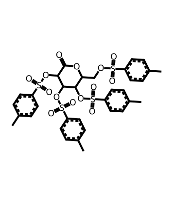 Cc1ccc(S(=O)(=O)OCC2OC(=O)C(OS(=O)(=O)c3ccc(C)cc3)C(OS(=O)(=O)c3ccc(C)cc3)C2OS(=O)(=O)c2ccc(C)cc2)cc1